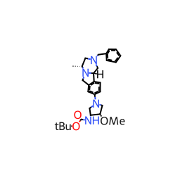 CO[C@@H]1CN(c2ccc3c(c2)CN2[C@H](C)CN(Cc4ccccc4)C[C@H]32)C[C@H]1NC(=O)OC(C)(C)C